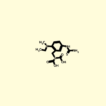 CCN(C)c1ccc(NC(N)=S)cc1CN(C(=O)O)C(=O)O